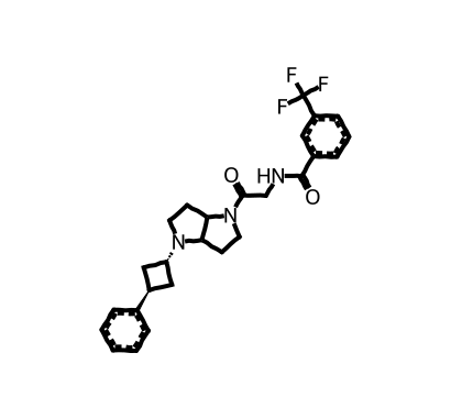 O=C(NCC(=O)N1CCC2C1CCN2[C@H]1C[C@H](c2ccccc2)C1)c1cccc(C(F)(F)F)c1